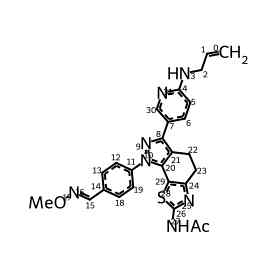 C=CCNc1ccc(-c2nn(-c3ccc(/C=N/OC)cc3)c3c2CCc2nc(NC(C)=O)sc2-3)cn1